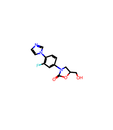 O=C1OC(CO)CN1c1ccc(-n2ccnc2)c(F)c1